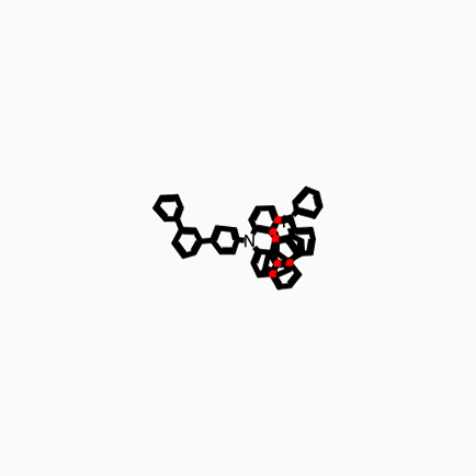 c1ccc(-c2cccc(-c3ccc(N(c4ccccc4-c4cccc5cccc(-c6ccccc6)c45)c4cccc5c4c4c6ccccc6ccc4n5-c4ccccc4)cc3)c2)cc1